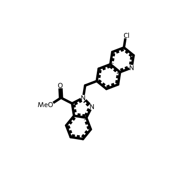 COC(=O)c1c2ccccc2nn1Cc1ccc2ncc(Cl)cc2c1